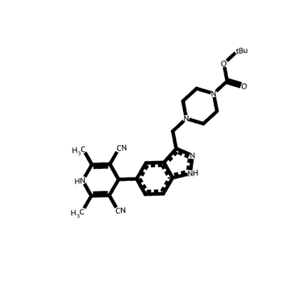 CC1=C(C#N)C(c2ccc3[nH]nc(CN4CCN(C(=O)OC(C)(C)C)CC4)c3c2)C(C#N)=C(C)N1